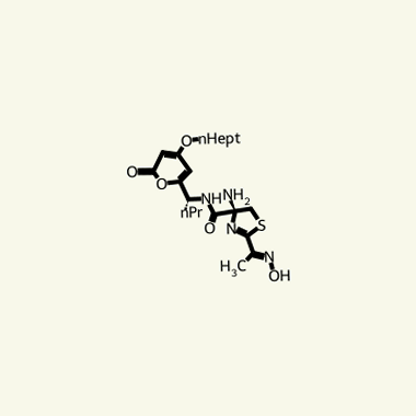 CCCCCCCOc1cc([C@@H](CCC)NC(=O)[C@]2(N)CSC(/C(C)=N/O)=N2)oc(=O)c1